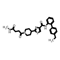 CCc1ccc(-c2ccccc2NC(=O)c2csc(C3CCN(C(=O)CCC(=O)NC)CC3)n2)cc1